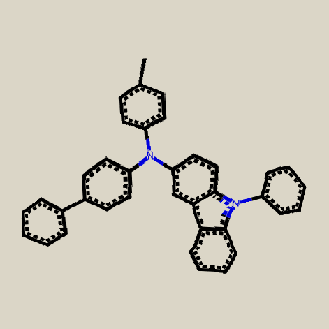 Cc1ccc(N(c2ccc(-c3ccccc3)cc2)c2ccc3c(c2)c2ccccc2n3-c2ccccc2)cc1